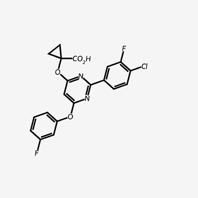 O=C(O)C1(Oc2cc(Oc3cccc(F)c3)nc(-c3ccc(Cl)c(F)c3)n2)CC1